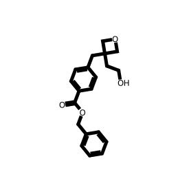 O=C(OCc1ccccc1)c1ccc(CC2(CCO)COC2)cc1